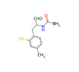 BC(=O)NC(C=O)Cc1ccc(C)cc1S